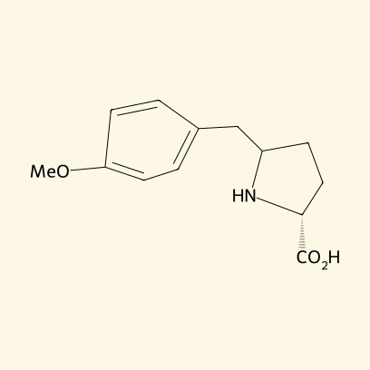 COc1ccc(CC2CC[C@H](C(=O)O)N2)cc1